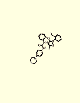 CCc1ccccc1-n1nc(C)cc1Oc1ccccc1NC(=O)Nc1ccc(N2CCCCC2)cc1